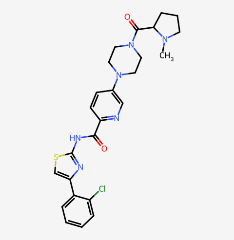 CN1CCCC1C(=O)N1CCN(c2ccc(C(=O)Nc3nc(-c4ccccc4Cl)cs3)nc2)CC1